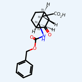 O=C(N[C@@H]1[C@@H](C(=O)O)[C@H]2CC[C@@H]1C(=O)C2)OCc1ccccc1